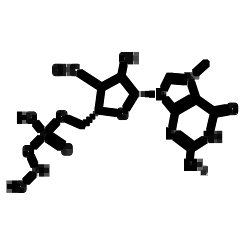 C[n+]1cn([C@@H]2O[C@H](COP(=O)(O)OPO)C(C=O)C2O)c2nc(N)[nH]c(=O)c21